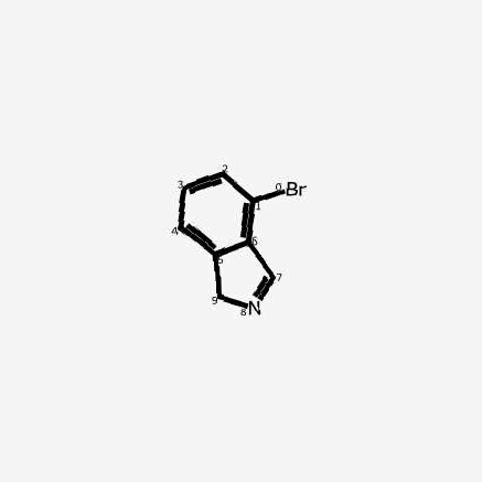 Brc1cccc2c1C=NC2